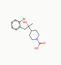 CC(O)(Cc1ccccc1Br)C1CCN(C(=O)O)CC1